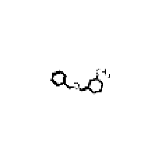 CC1CCCC(=COCc2ccccc2)C1